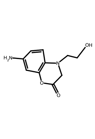 Nc1ccc2c(c1)OC(=O)CN2CCO